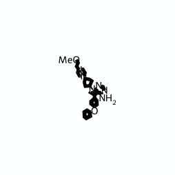 COCCN1CCN([C@H]2CC[C@H](n3cc(-c4ccc(Oc5ccccc5)cc4)c4c(N)ncnc43)CC2)CC1